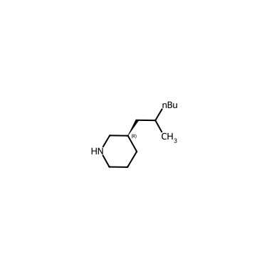 CCCCC(C)C[C@H]1CCCNC1